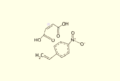 C=Cc1ccc([N+](=O)[O-])cc1.O=C(O)/C=C\C(=O)O